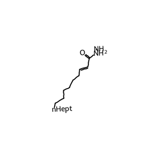 CCCCCCCCCCCCCC=CC(=O)NN